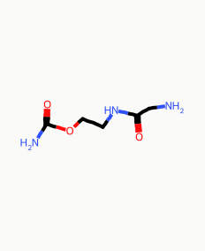 NCC(=O)NCCOC(N)=O